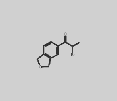 CC(Br)C(=O)c1ccc2c(c1)COC2